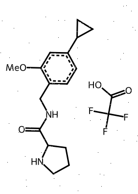 COc1cc(C2CC2)ccc1CNC(=O)C1CCCN1.O=C(O)C(F)(F)F